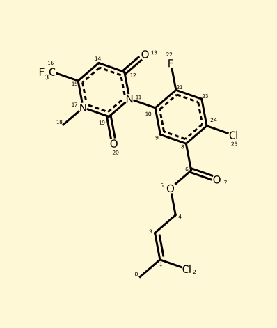 C/C(Cl)=C/COC(=O)c1cc(-n2c(=O)cc(C(F)(F)F)n(C)c2=O)c(F)cc1Cl